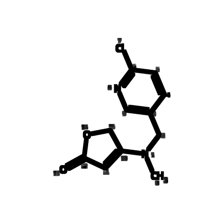 CN(Cc1ccc(Cl)nc1)C1=CC(=O)OC1